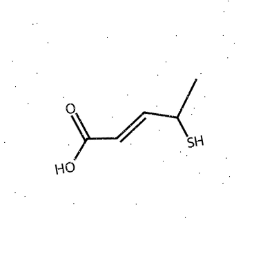 CC(S)C=CC(=O)O